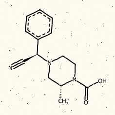 C[C@@H]1CN([C@@H](C#N)c2ccccc2)CCN1C(=O)O